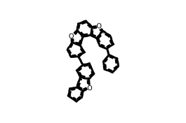 c1ccc(-c2ccc3oc4ccc5oc6ccc(-c7ccc8oc9ccccc9c8c7)cc6c5c4c3c2)cc1